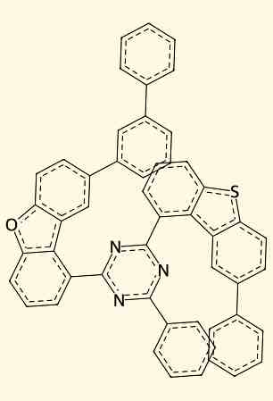 c1ccc(-c2cccc(-c3ccc4oc5cccc(-c6nc(-c7ccccc7)nc(-c7cccc8sc9ccc(-c%10ccccc%10)cc9c78)n6)c5c4c3)c2)cc1